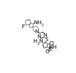 CS(=N)(=O)c1cccc(Sc2ncc(N3CCC4(CC3)CC3=C(C=CCC3F)[C@H]4N)nc2N)c1Cl